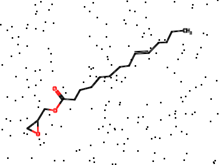 CCCCC=CCCCCCCCC(=O)OCC1CO1